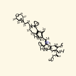 C=C(COC)Nc1cc2c(cc1F)/C(=C/c1[nH]c3c(c1C)C(=O)N(CCN1CCOCC1)CC3)C(=O)N2